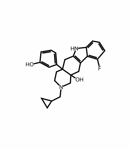 Oc1cccc(C23CCN(CC4CC4)CC2(O)Cc2c([nH]c4cccc(F)c24)C3)c1